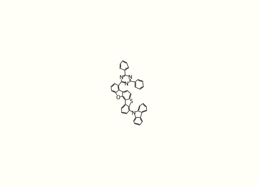 c1ccc(-c2nc(-c3ccccc3)nc(-c3cccc4oc5c(ccc6sc7c(-n8c9ccccc9c9ccccc98)cccc7c65)c34)n2)cc1